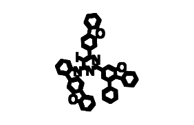 Ic1c(-c2ccc3c(c2)oc2ccccc23)nc(-c2cc(-c3ccccc3)c3c(c2)oc2ccccc23)nc1-n1c2ccccc2c2cc3oc4ccccc4c3cc21